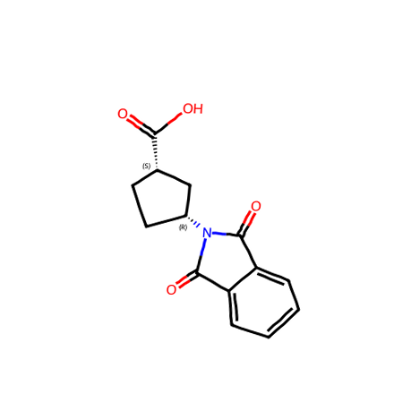 O=C(O)[C@H]1CC[C@@H](N2C(=O)c3ccccc3C2=O)C1